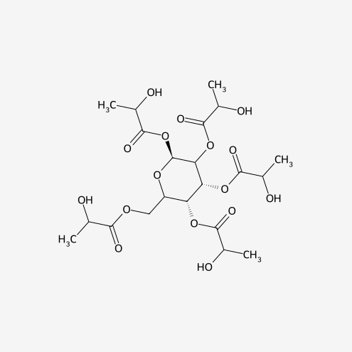 CC(O)C(=O)OCC1O[C@@H](OC(=O)C(C)O)C(OC(=O)C(C)O)[C@H](OC(=O)C(C)O)[C@@H]1OC(=O)C(C)O